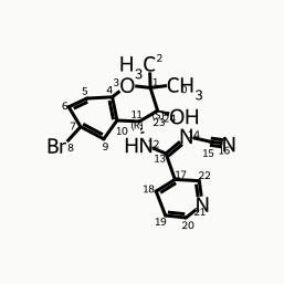 CC1(C)Oc2ccc(Br)cc2[C@@H](NC(=NC#N)c2cccnc2)[C@@H]1O